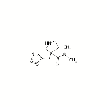 CN(C)C(=O)C1(Cc2cncs2)CCNC1